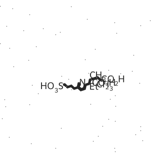 CCC(CC(C)(CC(C)C(=O)O)C(=O)O)c1ccc(CCCCS(=O)(=O)O)cn1